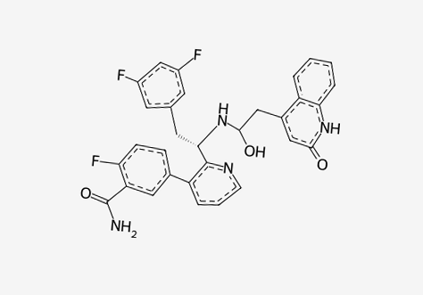 NC(=O)c1cc(-c2cccnc2[C@H](Cc2cc(F)cc(F)c2)NC(O)Cc2cc(=O)[nH]c3ccccc23)ccc1F